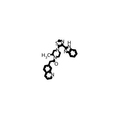 CC1CN(c2scnc2-c2nc3ccccc3[nH]2)CCN1C(=O)Cc1ccc2cccnc2c1